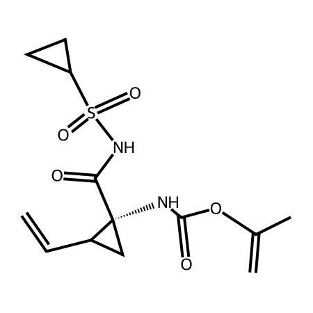 C=CC1C[C@]1(NC(=O)OC(=C)C)C(=O)NS(=O)(=O)C1CC1